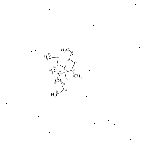 CCCCC(C)C(CCCC)(CCCC)N(C)C